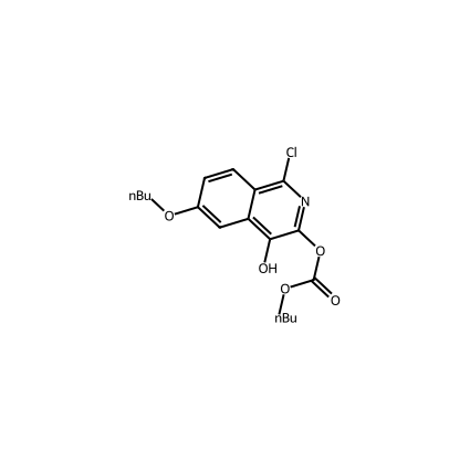 CCCCOC(=O)Oc1nc(Cl)c2ccc(OCCCC)cc2c1O